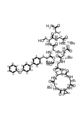 CC[C@H](C)[C@H](NC(=O)[C@@H](Cc1ccc(-c2ccc(Oc3ccccc3)cc2)cc1)NC)C(=O)N[C@@H](CO)C(=O)N[C@H](CCC(N)=O)C(=O)N[C@@H](C(=O)N[C@H](C(=O)N[C@@H](CO)C(=O)N[C@H]1C(=O)N[C@@H](C)C(=O)NC2(CC2)C(=O)N[C@@H]([C@@H](C)CC)C(=O)N[C@H]1C)[C@@H](C)CC)[C@@H](C)CC